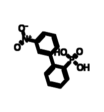 O=[N+]([O-])c1cccc(-c2ccccc2P(=O)(O)O)c1